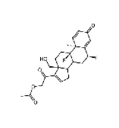 CC(=O)OCC(=O)C1=CCC2C3C[C@H](F)C4=CC(=O)C=C[C@]4(C)[C@@]3(F)CC[C@@]12CO